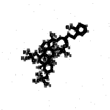 C[C@H](CCC(=O)OCc1ccccc1[N+](=O)[O-])[C@H]1CC[C@H]2[C@@H]3[C@H](O[Si](C)(C)C)C[C@@H]4C[C@H](O[Si](C)(C)C)CC[C@]4(C)[C@H]3C[C@H](O[Si](C)(C)C)[C@]12C